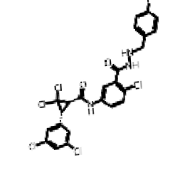 O=C(NNCc1ccc(F)cc1)c1cc(NC(=O)[C@H]2[C@H](c3cc(Cl)cc(Cl)c3)C2(Cl)Cl)ccc1Cl